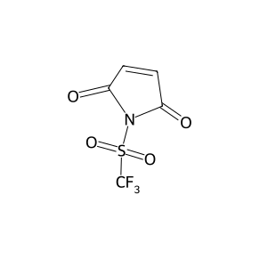 O=C1C=CC(=O)N1S(=O)(=O)C(F)(F)F